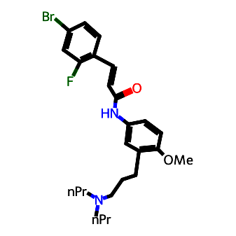 CCCN(CCC)CCCc1cc(NC(=O)C=Cc2ccc(Br)cc2F)ccc1OC